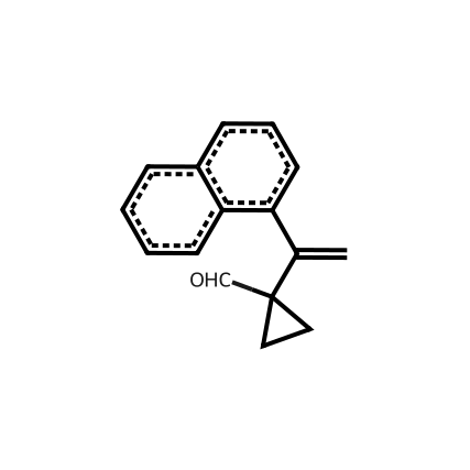 C=C(c1cccc2ccccc12)C1(C=O)CC1